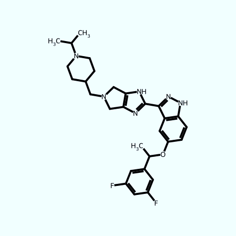 CC(Oc1ccc2[nH]nc(-c3nc4c([nH]3)CN(CC3CCN(C(C)C)CC3)C4)c2c1)c1cc(F)cc(F)c1